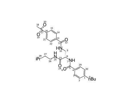 CCCCc1ccc(C(=O)N[C@@H](CNC(=O)c2ccc(S(C)(=O)=O)cc2)C(=O)N[CH]CC(C)C)cc1